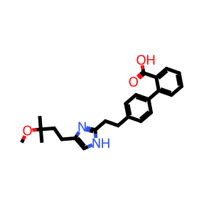 COC(C)(C)CCc1c[nH]c(CCc2ccc(-c3ccccc3C(=O)O)cc2)n1